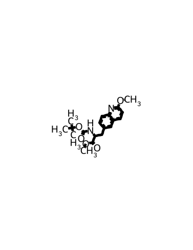 COC(=O)C(Cc1ccc2nc(OC)ccc2c1)NC(=O)OC(C)(C)C